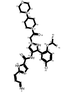 N=C/C=C\c1ncc(C(=O)NC2=CN(CC(=O)N3CCC(N4CCOCC4)CC3)NC2c2cc(Cl)ccc2OC(F)F)[nH]1